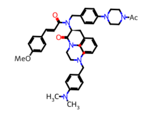 COc1ccc(/C=C/C(=O)N(Cc2ccc(N3CCN(C(C)=O)CC3)cc2)[C@@H](Cc2ccccc2)C(=O)N2CCN(Cc3ccc(N(C)C)cc3)CC2)cc1